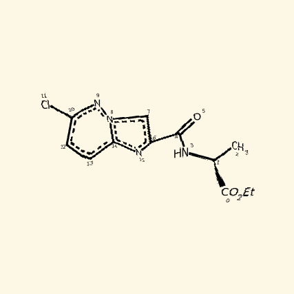 CCOC(=O)[C@H](C)NC(=O)c1cn2nc(Cl)ccc2n1